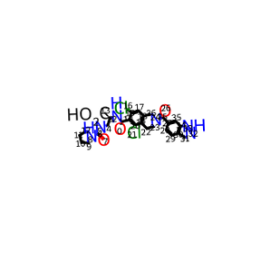 O=C(N[C@@H](CNC(=O)N1CCCC1)C(=O)O)c1c(Cl)cc2c(c1Cl)CCN(C(=O)c1ccc3cn[nH]c3c1)C2